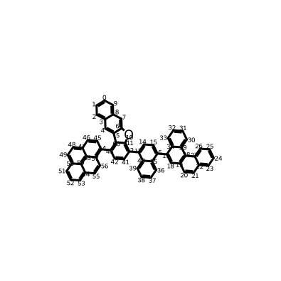 c1ccc2cc3c(cc2c1)oc1c(-c2ccc(-c4cc5ccc6ccccc6c5c5ccccc45)c4ccccc24)ccc(-c2ccc4ccc5cccc6ccc2c4c56)c13